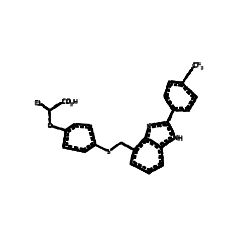 CCC(Oc1ccc(SCc2cccc3[nH]c(-c4ccc(C(F)(F)F)cc4)nc23)cc1)C(=O)O